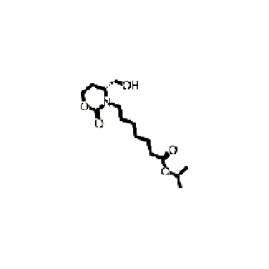 CC(C)OC(=O)CCCCCCN1C(=O)OCC[C@@H]1CO